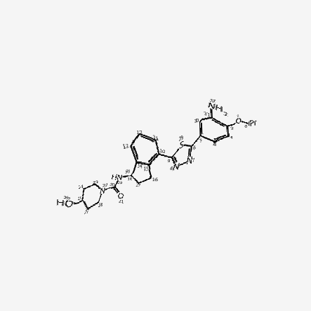 CC(C)Oc1ccc(-c2nnc(-c3cccc4c3CC[C@H]4NC(=O)N3CCC(O)CC3)s2)cc1N